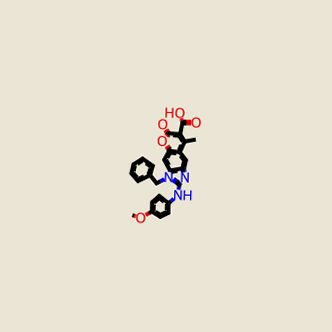 COc1ccc(Nc2nc3cc4c(C)c(C(=O)O)c(=O)oc4cc3n2Cc2ccccc2)cc1